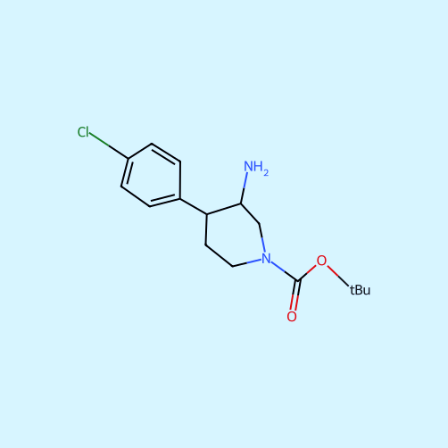 CC(C)(C)OC(=O)N1CCC(c2ccc(Cl)cc2)C(N)C1